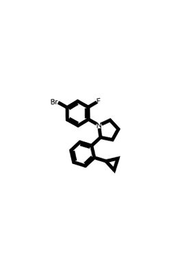 Fc1cc(Br)ccc1N1CCCC1c1ccccc1C1CC1